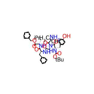 CC(C)C[C@H](NC(=O)[C@H](Cc1ccccc1)NC(=O)CN(C(=O)[C@H](Cc1ccc(O)cc1)NC(=O)OC(C)(C)C)C(=O)C(C)(C)N)C(=O)OCc1ccccc1